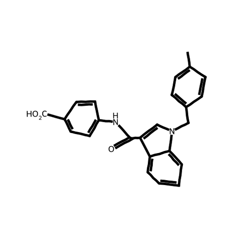 Cc1ccc(Cn2cc(C(=O)Nc3ccc(C(=O)O)cc3)c3ccccc32)cc1